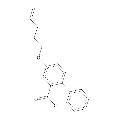 C=CCCCOc1ccc(-c2ccccc2)c(C(=O)Cl)c1